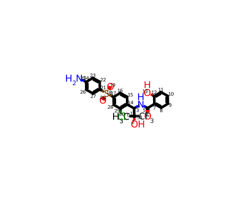 CC(O)(C(NC(=O)c1ccccc1O)c1ccc(S(=O)(=O)c2ccc(N)cc2)cc1Cl)C(F)(F)F